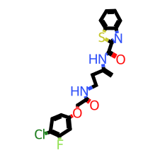 C=C(CCNC(=O)COc1ccc(Cl)c(F)c1)NC(=O)c1nc2ccccc2s1